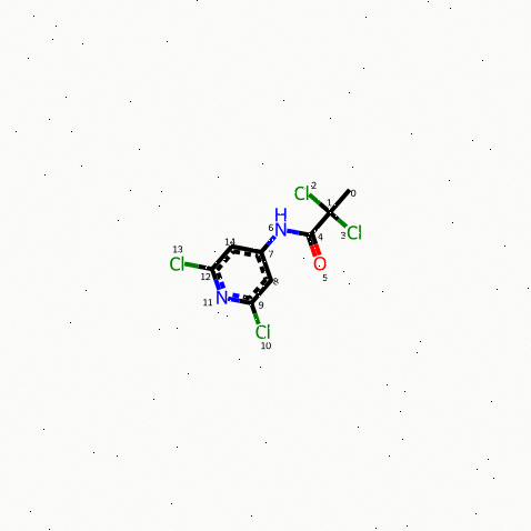 CC(Cl)(Cl)C(=O)Nc1cc(Cl)nc(Cl)c1